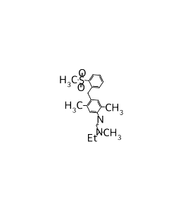 CCN(C)C=Nc1cc(C)c(Cc2ccccc2S(C)(=O)=O)cc1C